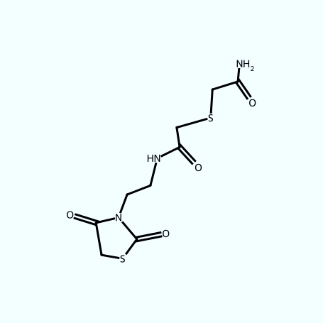 NC(=O)CSCC(=O)NCCN1C(=O)CSC1=O